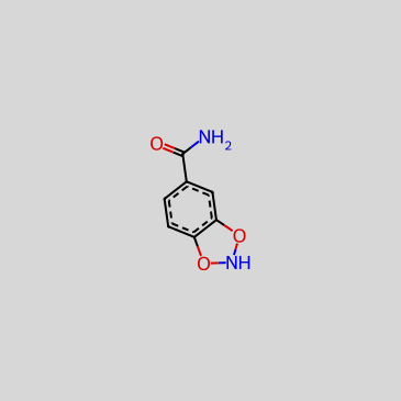 NC(=O)c1ccc2c(c1)ONO2